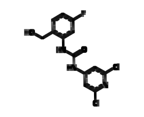 O=C(Nc1cc(Cl)nc(Cl)c1)Nc1cc(F)ccc1CO